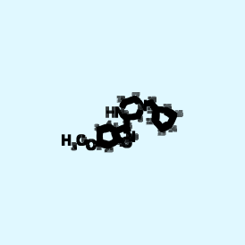 COc1ccc2c(C3CN(Cc4ccccc4)CCN3)noc2c1